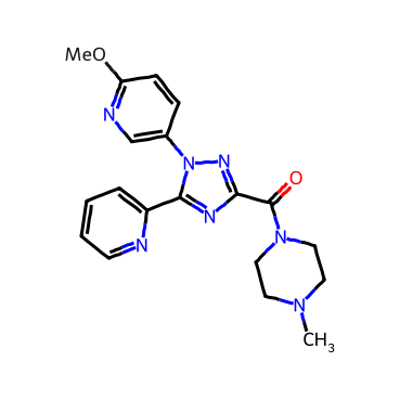 COc1ccc(-n2nc(C(=O)N3CCN(C)CC3)nc2-c2ccccn2)cn1